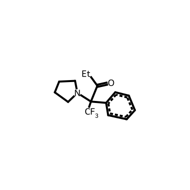 CCC(=O)C(c1ccccc1)(N1CCCC1)C(F)(F)F